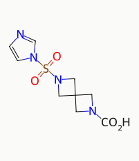 O=C(O)N1CC2(C1)CN(S(=O)(=O)n1ccnc1)C2